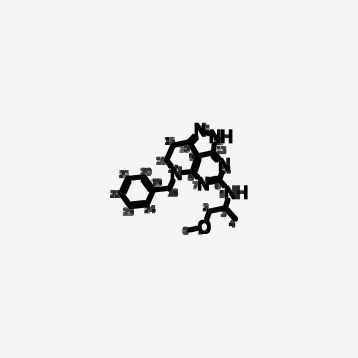 COCC(C)Nc1nc2c3c(n[nH]c3n1)CCN2Cc1ccccc1